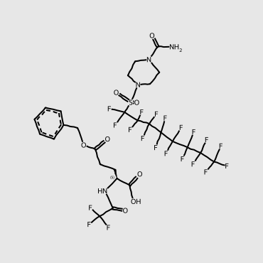 NC(=O)N1CCN(S(=O)(=O)C(F)(F)C(F)(F)C(F)(F)C(F)(F)C(F)(F)C(F)(F)C(F)(F)C(F)(F)F)CC1.O=C(CC[C@H](NC(=O)C(F)(F)F)C(=O)O)OCc1ccccc1